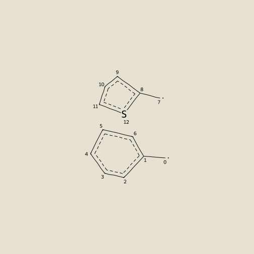 [CH2]c1ccccc1.[CH2]c1cccs1